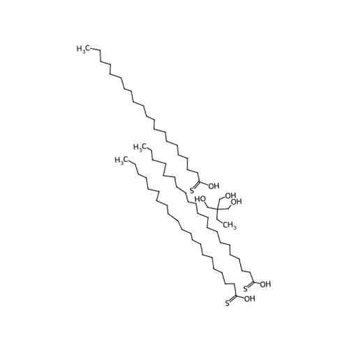 CCC(CO)(CO)CO.CCCCCCCCCCCCCCCCCCCCC(O)=S.CCCCCCCCCCCCCCCCCCCCC(O)=S.CCCCCCCCCCCCCCCCCCCCC(O)=S